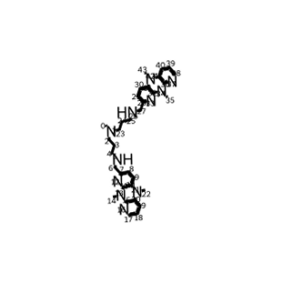 CN(CCCNCc1ccc2c(n1)N(C)c1ncccc1N2C)CCCNCc1ccc2c(n1)N(C)c1ncccc1N2C